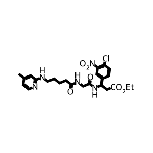 CCOC(=O)CC(NC(=O)CNC(=O)CCCCNc1cc(C)ccn1)c1ccc(Cl)c([N+](=O)[O-])c1